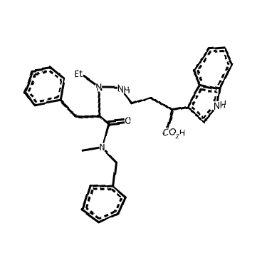 CCN(NCCC(C(=O)O)c1c[nH]c2ccccc12)C(Cc1ccccc1)C(=O)N(C)Cc1ccccc1